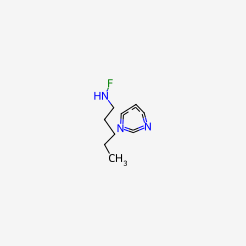 CCCCCNF.c1cncnc1